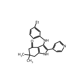 CCc1cccc(Nc2c(-c3ccncc3)[nH]c3c2C(=O)CC(C)(C)C3)c1